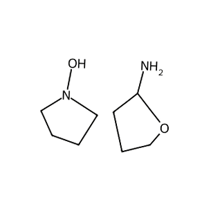 NC1CCCO1.ON1CCCC1